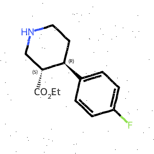 CCOC(=O)[C@@H]1CNCC[C@H]1c1ccc(F)cc1